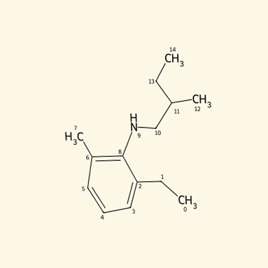 CCc1cccc(C)c1NCC(C)CC